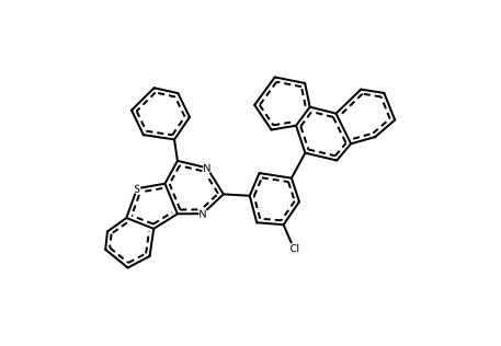 Clc1cc(-c2nc(-c3ccccc3)c3sc4ccccc4c3n2)cc(-c2cc3ccccc3c3ccccc23)c1